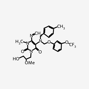 C=Nc1c(N(COc2cccc(OC(F)(F)F)c2)Cc2ccc(C)cc2)c(=O)n(CC(CO)OC)c(=O)n1C